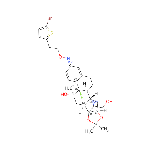 CC1(C)O[C@@H]2C[C@H]3[C@@H]4CCC5=C/C(=N/OCCc6ccc(Br)s6)C=C[C@]5(C)[C@@]4(F)[C@@H](O)C[C@]3(C)[C@]2(C(=N)CO)O1